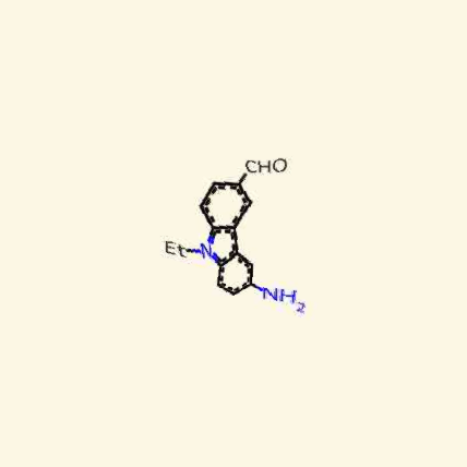 CCn1c2ccc(N)cc2c2cc(C=O)ccc21